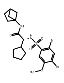 COc1cc(S(=O)(=O)N[C@@H](C(=O)NC23CCC(C2)C3)C2CCCC2)c(Br)cc1Br